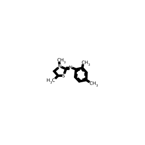 Cc1ccc(N=C2SC(C)CN2C)c(C)c1